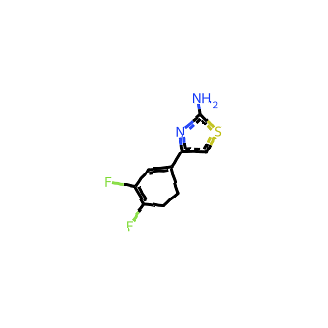 Nc1nc(C2=CC(F)=C(F)CC2)cs1